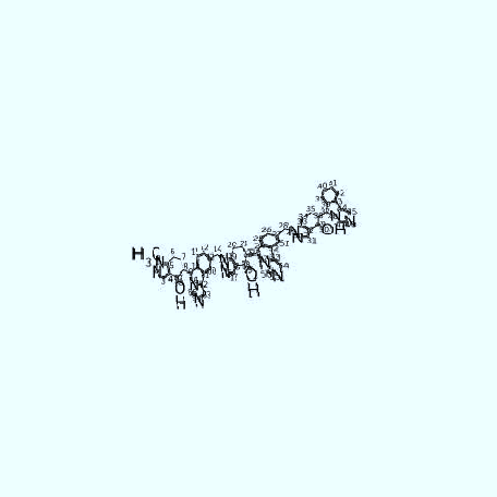 Cn1ncc2c1CC[C@H]([C@H]1c3ccc(Cn4ncc5c4CC[C@@H]([C@H]4c6ccc(Cn7ncc8c7CC[C@@H]([C@H]7c9ccccc9-c9cncn97)[C@@H]8O)cc6-c6cncn64)[C@H]5O)cc3-c3cncn31)[C@H]2O